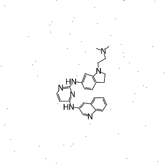 CN(C)CCN1CCc2ccc(Nc3nccc(Nc4cnc5ccccc5c4)n3)cc21